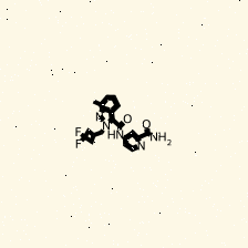 Cc1cccc2c(C(=O)Nc3ccnc(C(N)=O)c3)n(CC3CC(F)(F)C3)nc12